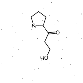 O=C(CCO)C1CCC[N]1